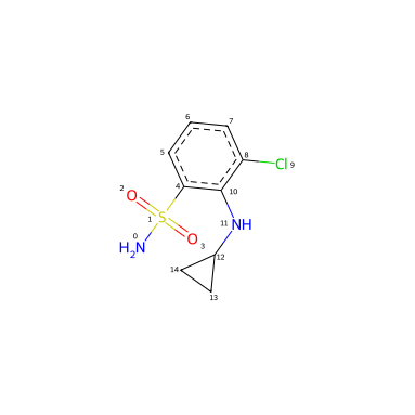 NS(=O)(=O)c1cccc(Cl)c1NC1CC1